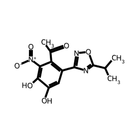 CC(=O)c1c(-c2noc(C(C)C)n2)cc(O)c(O)c1[N+](=O)[O-]